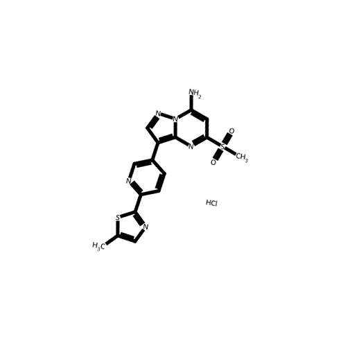 Cc1cnc(-c2ccc(-c3cnn4c(N)cc(S(C)(=O)=O)nc34)cn2)s1.Cl